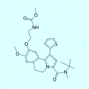 COC(=O)NCCOc1cc2c(cc1OC)CCn1c(C(=O)N(C)C(C)(C)C)cc(-c3cccs3)c1-2